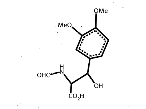 COc1ccc(C(O)C(NC=O)C(=O)O)cc1OC